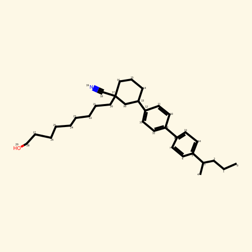 CCCC(C)c1ccc(-c2ccc(C3CCCC(C#N)(CCCCCCCCCO)C3)cc2)cc1